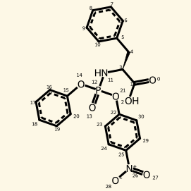 O=C(O)[C@H](Cc1ccccc1)NP(=O)(Oc1ccccc1)Oc1ccc([N+](=O)[O-])cc1